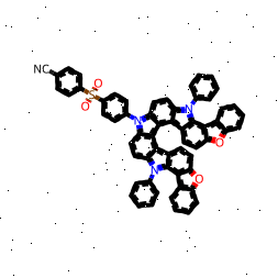 N#Cc1ccc(S(=O)(=O)c2ccc(-n3c4ccc5c(c6ccc7oc8ccccc8c7c6n5-c5ccccc5)c4c4c5c6ccc7oc8ccccc8c7c6n(-c6ccccc6)c5ccc43)cc2)cc1